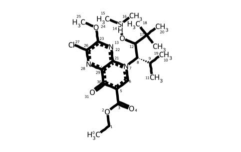 CCOC(=O)c1cn([C@@H](C(C)C)C(O[SiH](C)C)C(C)(C)C)c2nc(OC)c(Cl)nc2c1=O